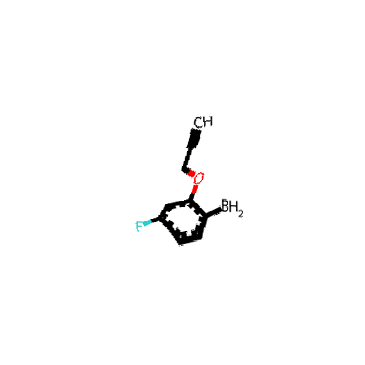 Bc1ccc(F)cc1OCC#C